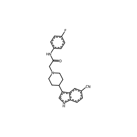 N#Cc1ccc2[nH]cc(C3CCN(CC(=O)Nc4ccc(F)cc4)CC3)c2c1